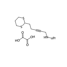 CCCNCC#CCCC1SCCCS1.O=C(O)C(=O)O